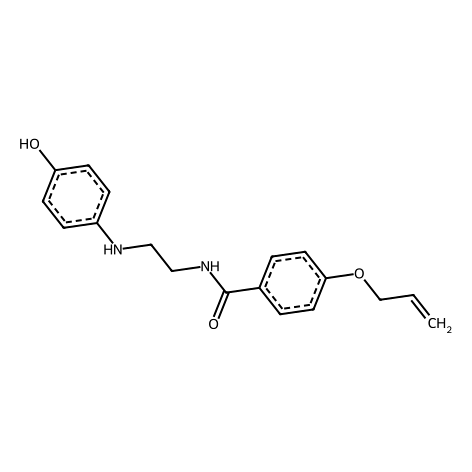 C=CCOc1ccc(C(=O)NCCNc2ccc(O)cc2)cc1